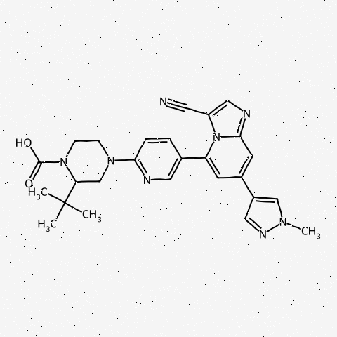 Cn1cc(-c2cc(-c3ccc(N4CCN(C(=O)O)C(C(C)(C)C)C4)nc3)n3c(C#N)cnc3c2)cn1